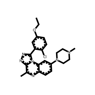 CCOc1ccc(Cl)c(-c2nnc3c(C)nc4ccc(N5CCN(C)CC5)cc4n23)c1